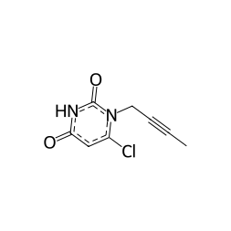 CC#CCn1c(Cl)cc(=O)[nH]c1=O